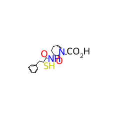 O=C(O)CN1C=CCC[C@H](NC(=O)[C@@H](S)Cc2ccccc2)C1=O